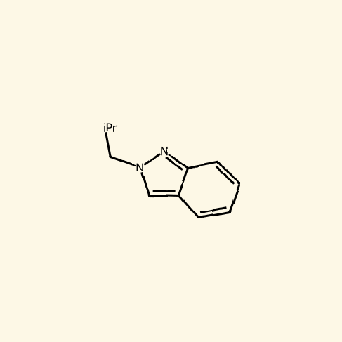 CC(C)Cn1cc2ccccc2n1